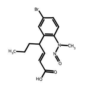 CCCC(C=CC(=O)O)c1cc(Br)ccc1N(C)N=O